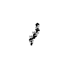 CCOc1nccc(-c2cc3cnc(NC(=O)c4cn(C[C@@H]5CCCO5)nc4C)cc3[nH]2)n1